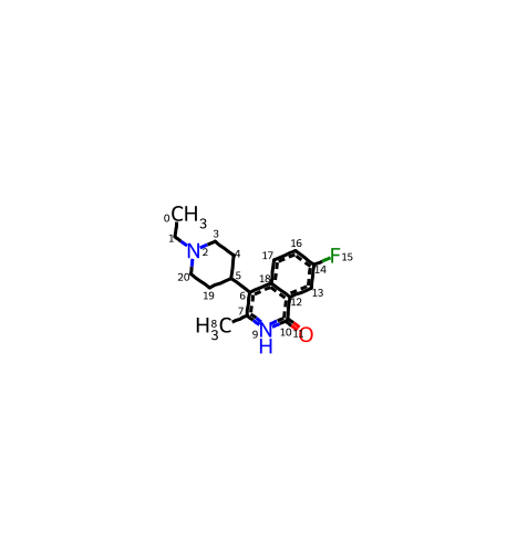 CCN1CCC(c2c(C)[nH]c(=O)c3cc(F)ccc23)CC1